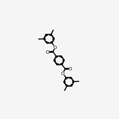 Cc1cc(C)cc(OC(=O)c2ccc(C(=O)Oc3cc(C)cc(C)c3)cc2)c1